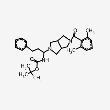 Cc1cccc(C)c1C(=O)N1CC2CN(C(CCc3ccccc3)NC(=O)OC(C)(C)C)CC2C1